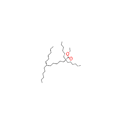 CCCCCCC(CCCCCC)CCCCCC(CCCCCC)(CCCCCC)C(=O)OCC